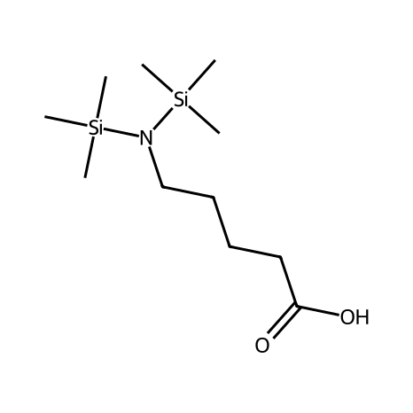 C[Si](C)(C)N(CCCCC(=O)O)[Si](C)(C)C